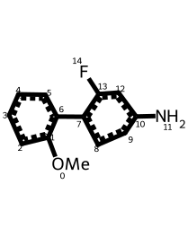 COc1ccccc1-c1ccc(N)cc1F